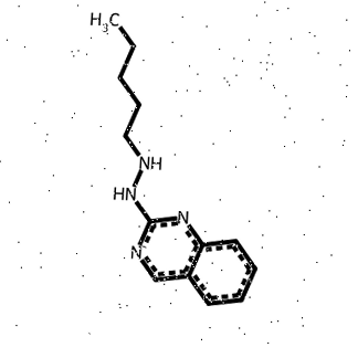 CCCCCNNc1ncc2ccccc2n1